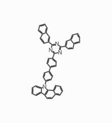 c1ccc2cc(-c3nc(-c4ccc(-c5ccc(-n6c7ccccc7c7ccc8ccccc8c76)cc5)cc4)nc(-c4ccc5ccccc5c4)n3)ccc2c1